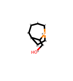 OCC1C2CCCCP1CC2